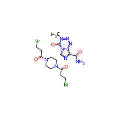 Cn1nnc2c(C(N)=O)ncn2c1=O.O=C(CCBr)N1CCN(C(=O)CCBr)CC1